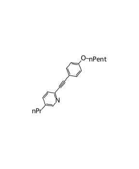 CCCCCOc1ccc(C#Cc2ccc(CCC)cn2)cc1